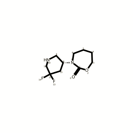 O=C1OCCCCN1[C@H]1CNCC(F)(F)C1